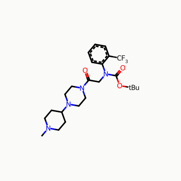 CN1CCC(N2CCN(C(=O)CN(C(=O)OC(C)(C)C)c3ccccc3C(F)(F)F)CC2)CC1